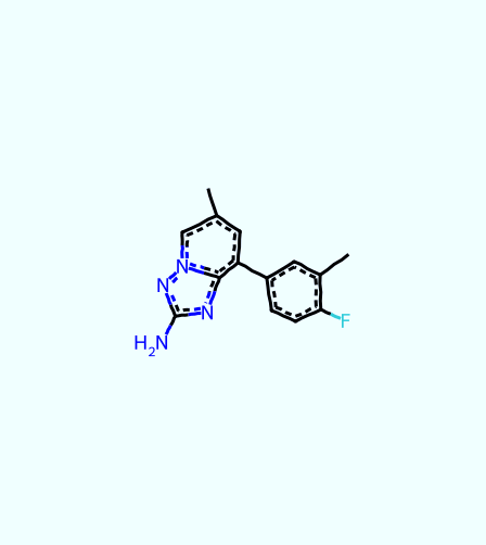 Cc1cc(-c2ccc(F)c(C)c2)c2nc(N)nn2c1